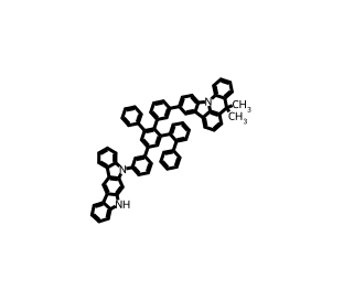 CC1(C)c2ccccc2-n2c3ccc(-c4cccc(-c5c(-c6ccccc6)cc(-c6cccc(-n7c8ccccc8c8cc9c(cc87)[nH]c7ccccc79)c6)cc5-c5ccccc5-c5ccccc5)c4)cc3c3cccc1c32